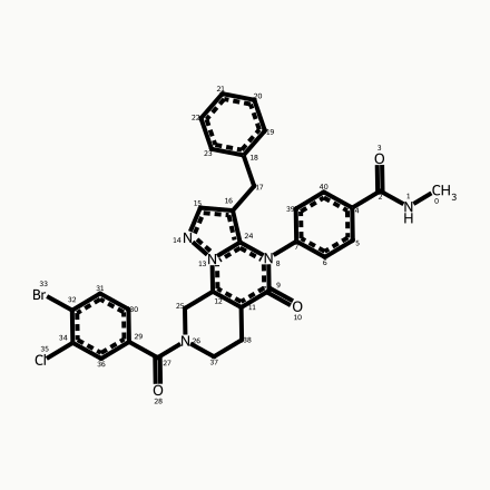 CNC(=O)c1ccc(-n2c(=O)c3c(n4ncc(Cc5ccccc5)c24)CN(C(=O)c2ccc(Br)c(Cl)c2)CC3)cc1